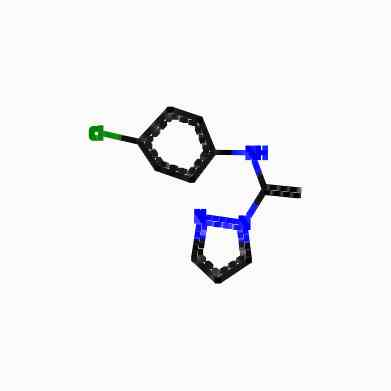 C=C(Nc1ccc(Cl)cc1)n1cccn1